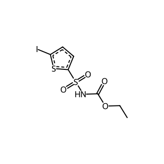 CCOC(=O)NS(=O)(=O)c1ccc(I)s1